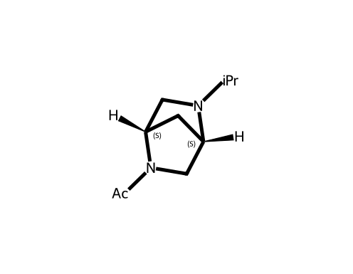 CC(=O)N1C[C@@H]2C[C@H]1CN2C(C)C